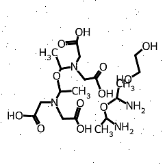 CC(N)OC(C)N.CC(OC(C)N(CC(=O)O)CC(=O)O)N(CC(=O)O)CC(=O)O.OCCO